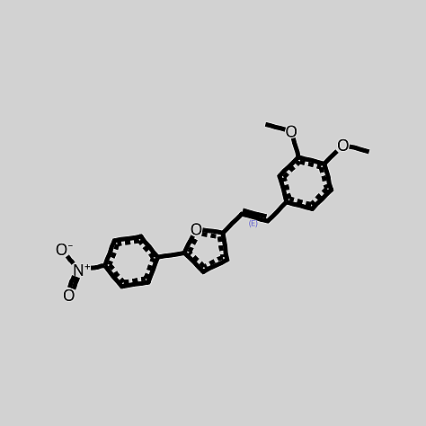 COc1ccc(/C=C/c2ccc(-c3ccc([N+](=O)[O-])cc3)o2)cc1OC